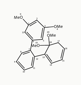 COc1cc(OC)cc(-c2ccccc2C2=CC=CCC2(OC)OC)c1